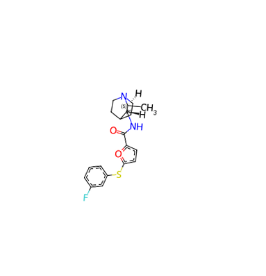 C[C@H]1[C@H](NC(=O)c2ccc(Sc3cccc(F)c3)o2)C2CCN1CC2